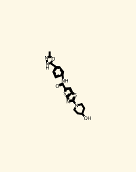 CC1=NNC(c2ccc(NC(=O)c3cc4sc(N5CCC(O)CC5)nc4s3)cc2)O1